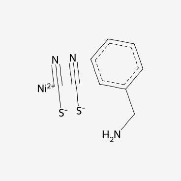 N#C[S-].N#C[S-].NCc1ccccc1.[Ni+2]